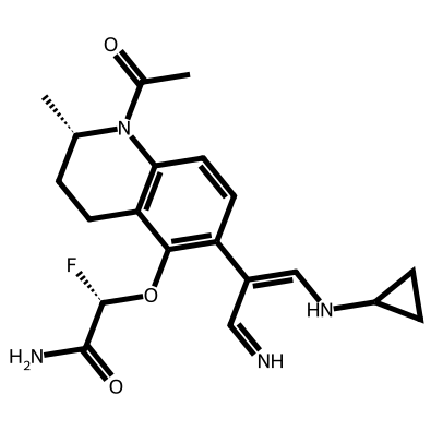 CC(=O)N1c2ccc(/C(C=N)=C/NC3CC3)c(O[C@@H](F)C(N)=O)c2CC[C@@H]1C